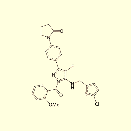 COc1ccccc1C(=O)n1nc(-c2ccc(N3CCCC3=O)cc2)c(F)c1NCc1ccc(Cl)s1